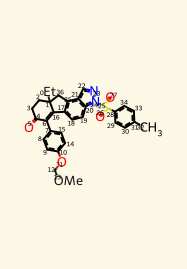 CCC12CCC(=O)C(c3ccc(OCOC)cc3)=C1c1ccc3c(cnn3S(=O)(=O)c3ccc(C)cc3)c1C2